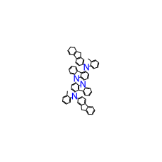 Cc1ccccc1N(c1ccc2c(c1)CC1=C2C=CCC1)c1ccc2c3c1c1ccccc1n3c1ccc(N(c3ccc4c(c3)Cc3ccccc3-4)c3ccccc3C)c3c4ccccc4n2c31